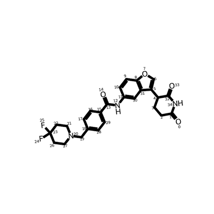 O=C1CCC(c2coc3ccc(NC(=O)c4ccc(CN5CCC(F)(F)CC5)cc4)cc23)C(=O)N1